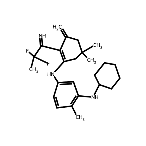 C=C1CC(C)(C)CC(Nc2ccc(C)c(NC3CCCCC3)c2)=C1C(=N)C(C)(F)F